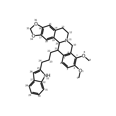 COc1ccc2c(c1OC)CN1CCc3cc4c(cc3C1C2CCCc1cc2ccccc2[nH]1)OCO4